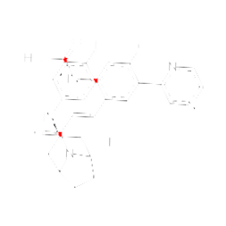 CC(=O)Nc1cc(Cl)c(-c2cnccn2)cc1/C=C/C(=O)N1[C@@H]2CC[C@H]1C[C@@H](Nc1ccc(F)cc1)C2